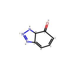 O=C1C=CC=C2N=N[N]C12